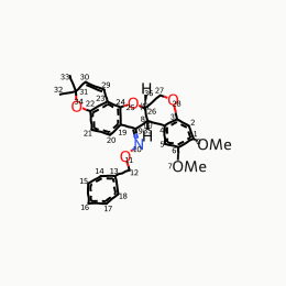 COc1cc2c(cc1OC)[C@@H]1C(=NOCc3ccccc3)c3ccc4c(c3O[C@@H]1CO2)C=CC(C)(C)O4